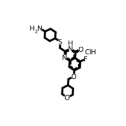 Cl.NC1CCC(SCc2nc3cc(OCC4CCOCC4)cc(F)c3c(=O)[nH]2)CC1